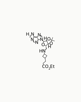 CCOC(=O)CCC1CC(NC[C@H]2O[C@@H](n3cnc4c(N)ncnc43)[C@@H]3OC(C)(C)O[C@@H]32)C1